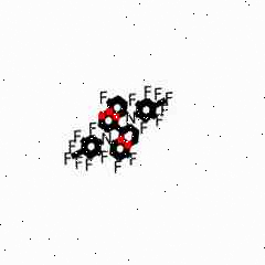 Fc1ccc(N(C2=C(c3ccccc3N(c3ccc(F)c(F)c3)c3c(F)c(F)c(C(F)(F)F)c(F)c3F)CCC=C2)c2c(F)c(F)c(C(F)(F)F)c(F)c2F)cc1F